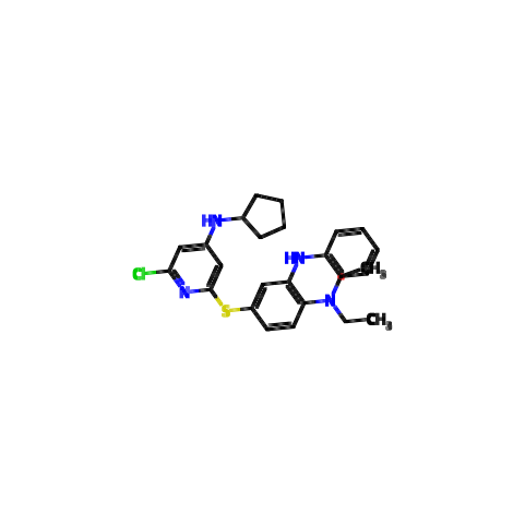 CCN(CC)c1ccc(Sc2cc(NC3CCCC3)cc(Cl)n2)cc1Nc1ccccc1